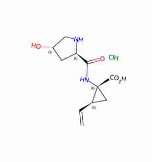 C=C[C@@H]1C[C@]1(NC(=O)[C@H]1C[C@H](O)CN1)C(=O)O.Cl